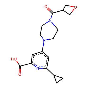 O=C(O)c1cc(N2CCN(C(=O)C3COC3)CC2)cc(C2CC2)n1